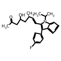 CC(=O)CC(O)C[C@H](C)/C=C/c1c(-c2ccc(F)cc2)c2ccccc2n1C(C)C